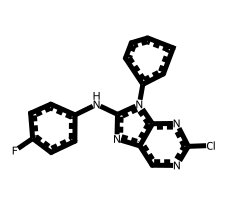 Fc1ccc(Nc2nc3cnc(Cl)nc3n2-c2ccccc2)cc1